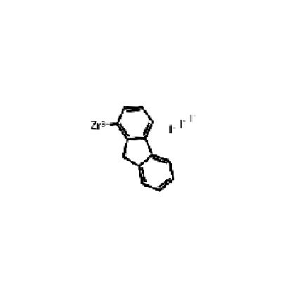 [I-].[I-].[I-].[Zr+3][c]1cccc2c1Cc1ccccc1-2